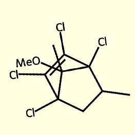 COC1(C)C2(Cl)CC(C)C1(Cl)C(Cl)=C2Cl